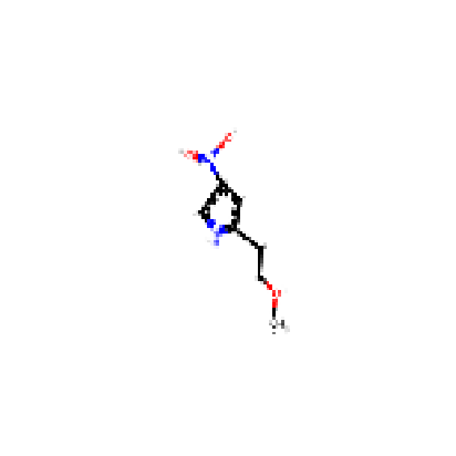 COCCc1cc([N+](=O)[O-])c[nH]1